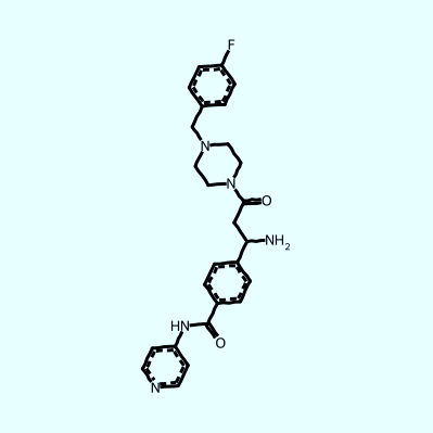 NC(CC(=O)N1CCN(Cc2ccc(F)cc2)CC1)c1ccc(C(=O)Nc2ccncc2)cc1